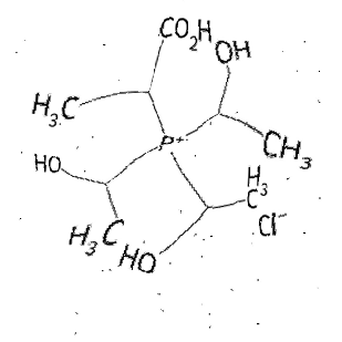 CC(O)[P+](C(C)O)(C(C)O)C(C)C(=O)O.[Cl-]